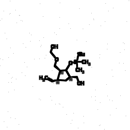 C=C[C@@H]1C[C@H](CO)C(O[Si](C)(C)C(C)(C)C)[C@@H]1COCO